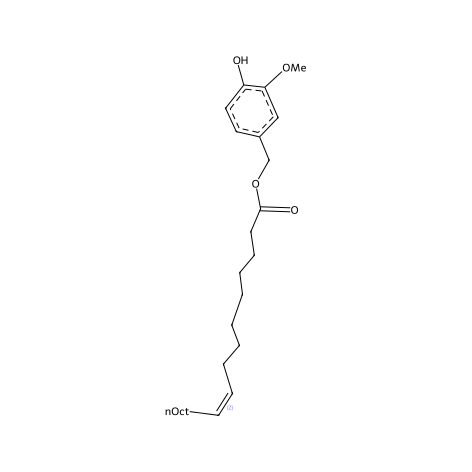 CCCCCCCC/C=C\CCCCCCCC(=O)OCc1ccc(O)c(OC)c1